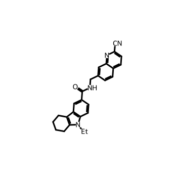 CCn1c2c(c3cc(C(=O)NCc4ccc5ccc(C#N)nc5c4)ccc31)CCCC2